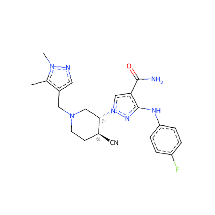 Cc1c(CN2CC[C@H](C#N)[C@@H](n3cc(C(N)=O)c(Nc4ccc(F)cc4)n3)C2)cnn1C